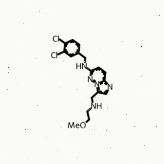 COCCNCc1cnc2ccc(NCc3ccc(Cl)c(Cl)c3)nn12